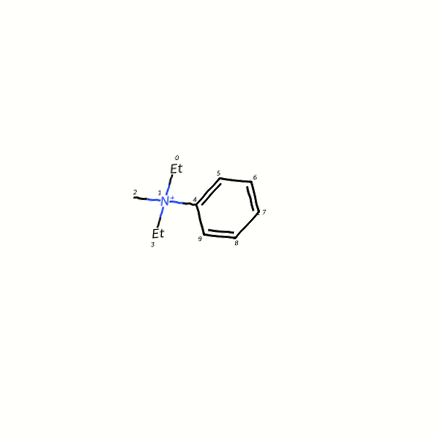 CC[N+](C)(CC)c1cc[c]cc1